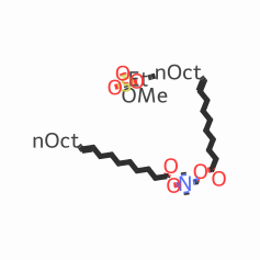 CCC.CCCCCCCCC=CCCCCCCCC(=O)OC[N+](C)(C)OC(=O)CCCCCCCC=CCCCCCCCC.COS(=O)(=O)[O-]